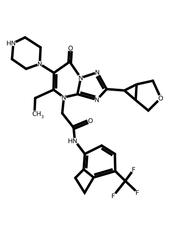 CCc1c(N2CCNCC2)c(=O)n2nc(C3C4COCC43)nc2n1CC(=O)Nc1ccc(C(F)(F)F)c2c1CC2